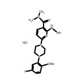 CCCNc1nc(N2CCN(c3cc(F)ccc3OC)CC2)ccc1C(=O)N(C)C.Cl